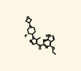 CCOc1nc(Nc2cnn([C@@H]3CCN(C4COC4)C[C@H]3F)c2C)nc2[nH]ccc12